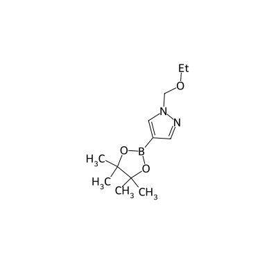 CCOCn1cc(B2OC(C)(C)C(C)(C)O2)cn1